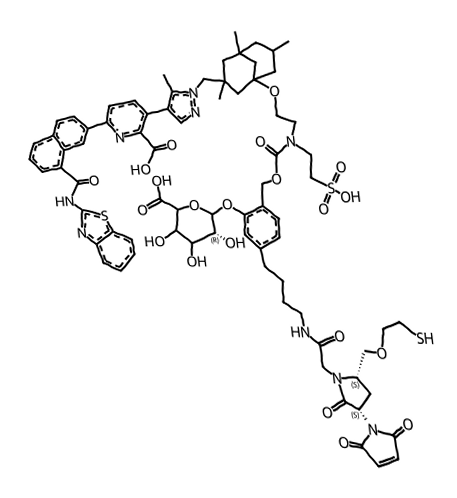 Cc1c(-c2ccc(-c3ccc4cccc(C(=O)Nc5nc6ccccc6s5)c4c3)nc2C(=O)O)cnn1CC1(C)CC2(C)CC(C)CC(OCCN(CCS(=O)(=O)O)C(=O)OCc3ccc(CCCCNC(=O)CN4C(=O)[C@@H](N5C(=O)C=CC5=O)C[C@H]4COCCS)cc3OC3OC(C(=O)O)C(O)C(O)[C@H]3O)(C2)C1